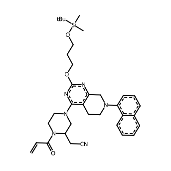 C=CC(=O)N1CCN(c2nc(OCCCO[Si](C)(C)C(C)(C)C)nc3c2CCN(c2cccc4ccccc24)C3)CC1CC#N